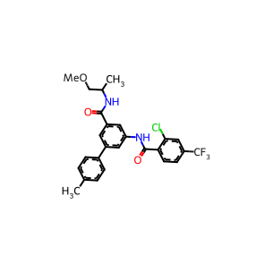 COCC(C)NC(=O)c1cc(NC(=O)c2ccc(C(F)(F)F)cc2Cl)cc(-c2ccc(C)cc2)c1